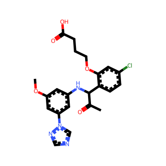 COc1cc(NC(C(C)=O)c2ccc(Cl)cc2OCCCC(=O)O)cc(-n2cncn2)c1